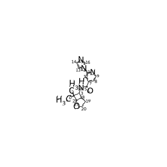 CC1(C)C(NC(=O)c2ccnc(-n3ccnc3)c2)C2CCOC21